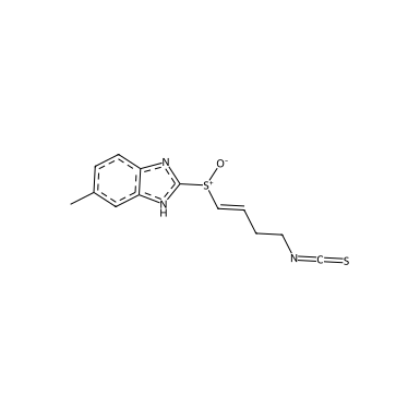 Cc1ccc2nc([S+]([O-])/C=C/CCN=C=S)[nH]c2c1